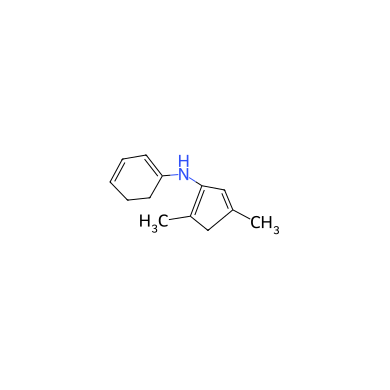 CC1=CC(NC2=CC=CCC2)=C(C)C1